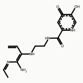 C=C/C(NCCNC(=O)c1cc(=O)c(O)c[nH]1)=C(N)\N=C/C